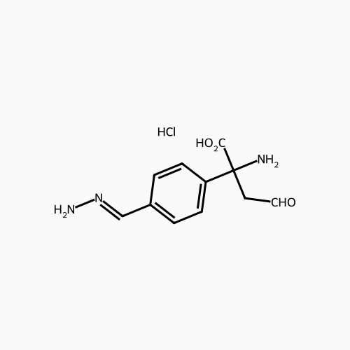 Cl.NN=Cc1ccc(C(N)(CC=O)C(=O)O)cc1